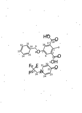 Cc1c(C(=O)O)cc(OCc2ccccc2)cc1C(=O)O.O=c1ccn(CC(F)(F)F)cc1